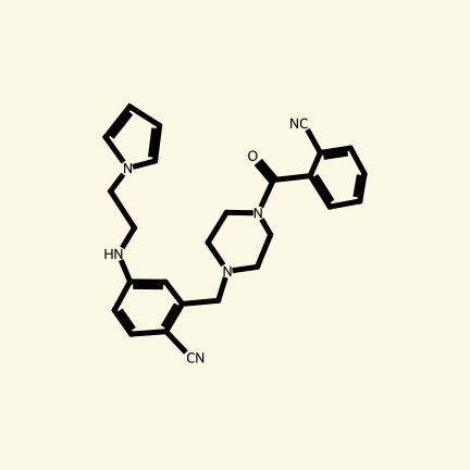 N#Cc1ccc(NCCn2cccc2)cc1CN1CCN(C(=O)c2ccccc2C#N)CC1